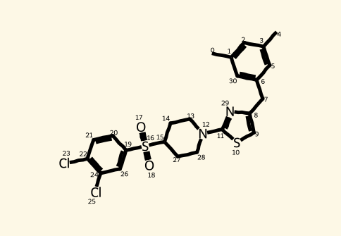 Cc1cc(C)cc(Cc2csc(N3CCC(S(=O)(=O)c4ccc(Cl)c(Cl)c4)CC3)n2)c1